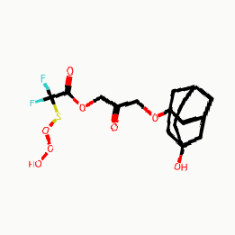 O=C(COC(=O)C(F)(F)SOOO)COC12CC3CC(CC(O)(C3)C1)C2